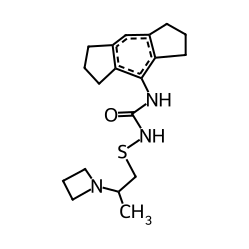 CC(CSNC(=O)Nc1c2c(cc3c1CCC3)CCC2)N1CCC1